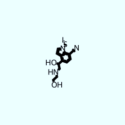 N#Cc1ccc(C(O)CNCCO)c2ccn(SI)c12